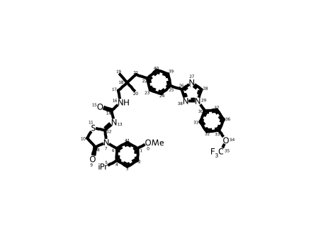 COc1ccc(C(C)C)c(N2C(=O)CS/C2=N\C(=O)NCC(C)(C)Cc2ccc(-c3ncn(-c4ccc(OC(F)(F)F)cc4)n3)cc2)c1